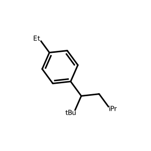 CCc1ccc(C(CC(C)C)C(C)(C)C)cc1